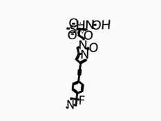 CN1CC(F)(c2ccc(C#Cc3cc4n(c3)C(=O)N(CC[C@](C)(C(=O)NO)S(C)(=O)=O)C4)cc2)C1